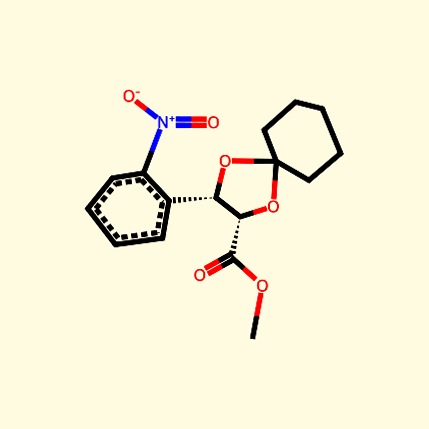 COC(=O)[C@H]1OC2(CCCCC2)O[C@H]1c1ccccc1[N+](=O)[O-]